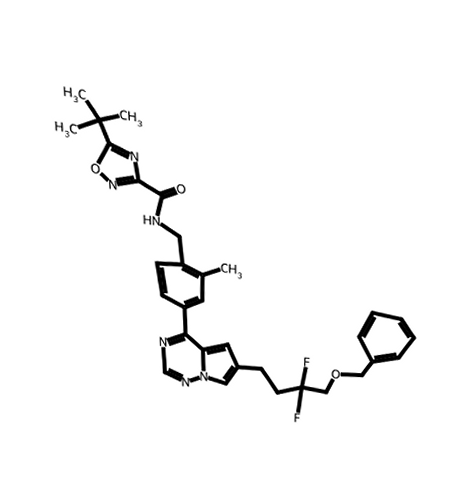 Cc1cc(-c2ncnn3cc(CCC(F)(F)COCc4ccccc4)cc23)ccc1CNC(=O)c1noc(C(C)(C)C)n1